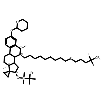 CC(C)C(C)(C)[Si](C)(C)O[C@@H]1CC2C3C(CC[C@]2(C)C12CC2)c1ccc(OC2CCCCO2)cc1[C@H](F)[C@H]3CCCCCCCCCSCCCC(F)(F)C(F)(F)F